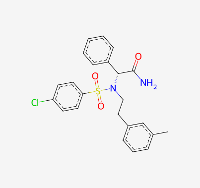 Cc1cccc(CCN([C@@H](C(N)=O)c2ccccc2)S(=O)(=O)c2ccc(Cl)cc2)c1